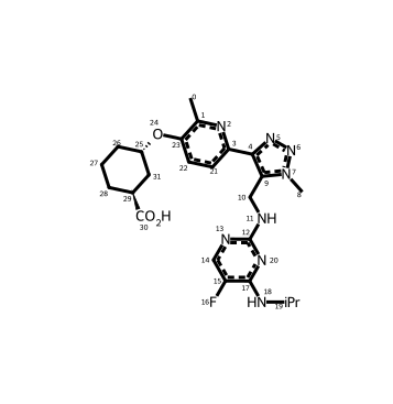 Cc1nc(-c2nnn(C)c2CNc2ncc(F)c(NC(C)C)n2)ccc1O[C@H]1CCC[C@H](C(=O)O)C1